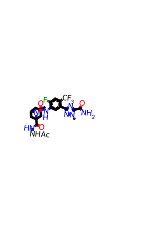 CC(=O)NNC(=O)C12CC(C)CC(C1)N2C(=O)Nc1cc(-c2nc(C(N)=O)n(C)n2)c(C(F)(F)F)cc1F